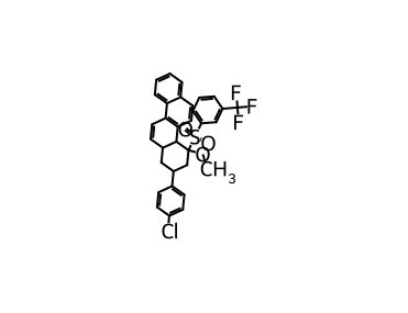 COC1(S(=O)(=O)c2cccc(C(F)(F)F)c2)CC(c2ccc(Cl)cc2)CC2C=Cc3c(ccc4ccccc34)C21